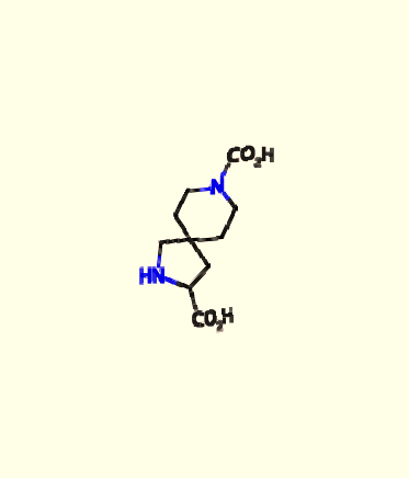 O=C(O)C1CC2(CCN(C(=O)O)CC2)CN1